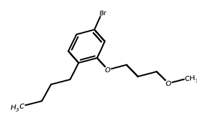 CCCCc1ccc(Br)cc1OCCCOC